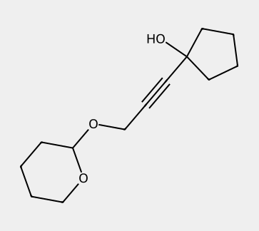 OC1(C#CCOC2CCCCO2)CCCC1